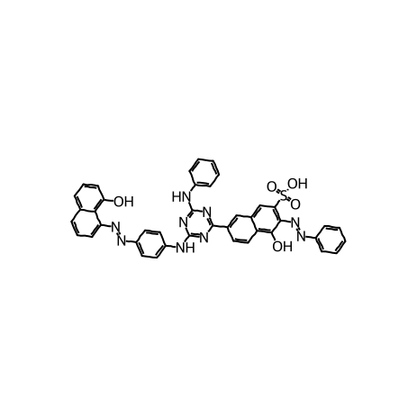 O=S(=O)(O)c1cc2cc(-c3nc(Nc4ccccc4)nc(Nc4ccc(N=Nc5cccc6cccc(O)c56)cc4)n3)ccc2c(O)c1N=Nc1ccccc1